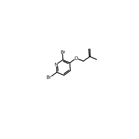 C=C(C)COc1ccc(Br)nc1Br